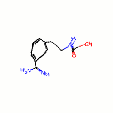 N=C(N)c1cccc(CCNC(=O)O)c1